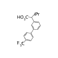 CC(C)C(C(=O)O)c1cccc(-c2ccc(C(F)(F)F)cc2)c1